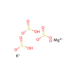 O=S([O-])O.O=S([O-])O.O=S([O-])O.[K+].[Mg+2]